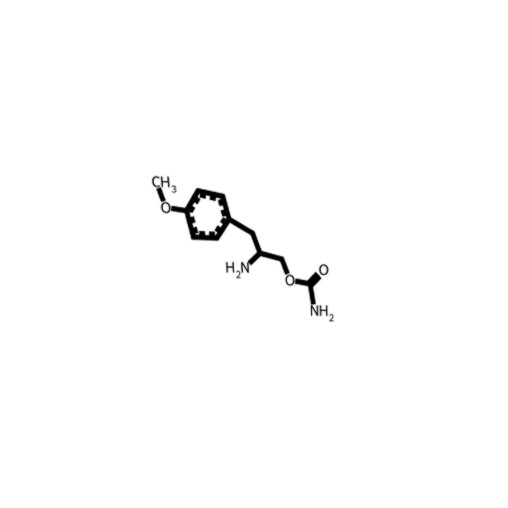 COc1ccc(CC(N)COC(N)=O)cc1